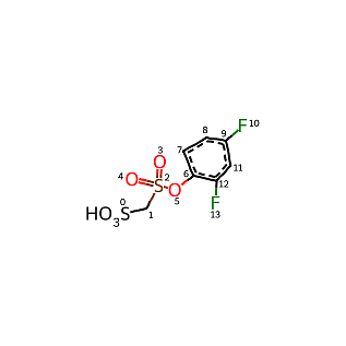 O=S(=O)(O)CS(=O)(=O)Oc1ccc(F)cc1F